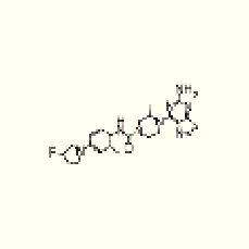 Cc1cc(N2CCC(F)C2)ccc1NC(=O)N1CCN(c2nc(N)nc3scnc23)C(C)C1